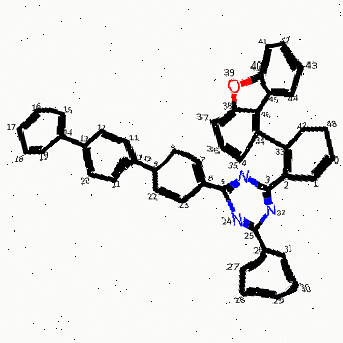 C1=CC(c2nc(C3=CCC(c4ccc(-c5ccccc5)cc4)C=C3)nc(-c3ccccc3)n2)=C(c2cccc3oc4ccccc4c23)CC1